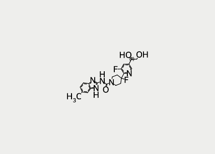 Cc1ccc2nc(NC(=O)N3CCC(F)(c4ncc([C@@H](O)CO)cc4F)CC3)[nH]c2c1